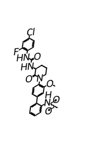 COc1cc(-c2ccccc2NS(C)(=O)=O)ccc1N1CCCC(NC(=O)Nc2ccc(Cl)cc2F)C1=O